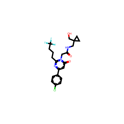 O=C(Cn1c(CCCC(F)(F)F)nc(-c2ccc(Cl)cc2)cc1=O)NCC1(CO)CC1